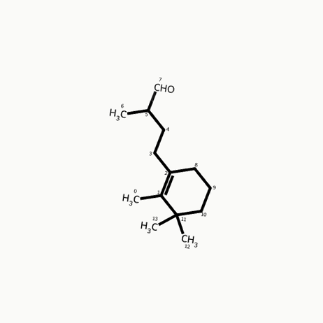 CC1=C(CCC(C)C=O)CCCC1(C)C